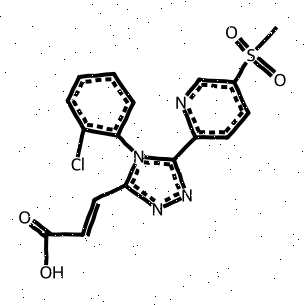 CS(=O)(=O)c1ccc(-c2nnc(C=CC(=O)O)n2-c2ccccc2Cl)nc1